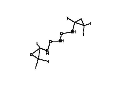 IC1(I)CC1(I)BOBOBC1(I)OC1(I)I